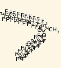 CC(=CC(F)(F)C(F)(F)C(F)(F)C(F)(F)C(F)(F)C(F)(F)C(F)(F)C(F)(F)C(F)(F)C(F)(F)F)C(=O)OC(F)(F)C(F)(F)C(F)(F)C(F)(F)C(F)(F)C(F)(F)C(F)(F)C(F)(F)F